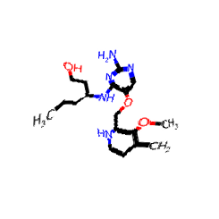 C=C1C=CNC(COc2cnc(N)nc2N[C@@H](CCC)CCO)=C1OC